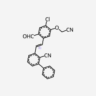 N#CCOc1cc(/C=C/c2cccc(-c3ccccc3)c2C#N)c(C=O)cc1Cl